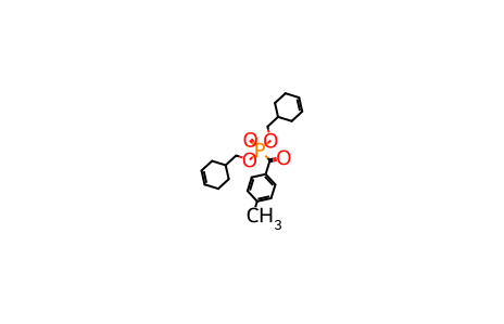 Cc1ccc(C(=O)P(=O)(OCC2CC=CCC2)OCC2CC=CCC2)cc1